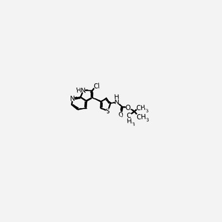 CC(C)(C)OC(=O)Nc1cc(-c2c(Cl)[nH]c3ncccc23)cs1